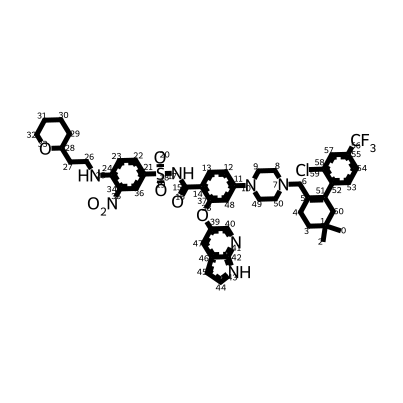 CC1(C)CCC(CN2CCN(c3ccc(C(=O)NS(=O)(=O)c4ccc(NCCC5CCCCO5)c([N+](=O)[O-])c4)c(Oc4cnc5[nH]ccc5c4)c3)CC2)=C(c2ccc(C(F)(F)F)cc2Cl)C1